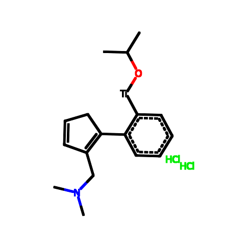 CC(C)[O][Ti][c]1ccccc1C1=C(CN(C)C)C=CC1.Cl.Cl